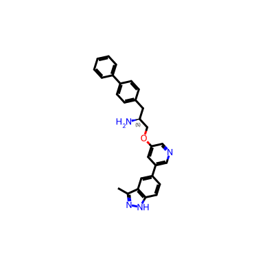 Cc1n[nH]c2ccc(-c3cncc(OC[C@@H](N)Cc4ccc(-c5ccccc5)cc4)c3)cc12